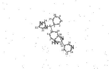 c1ccc(C(c2ccc3[nH]c(-c4cccnc4)nc3c2)n2ccnc2)cc1